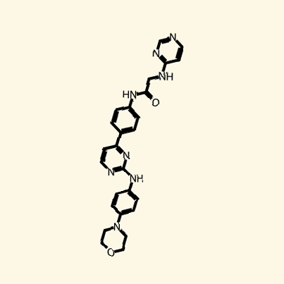 O=C(CNc1ccncn1)Nc1ccc(-c2ccnc(Nc3ccc(N4CCOCC4)cc3)n2)cc1